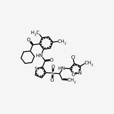 C=CC(Nc1onc(C)c1Cl)S(=O)(=O)c1ccsc1C(=O)Nc1cc(C)cc(C)c1C(=O)C1CCCCC1